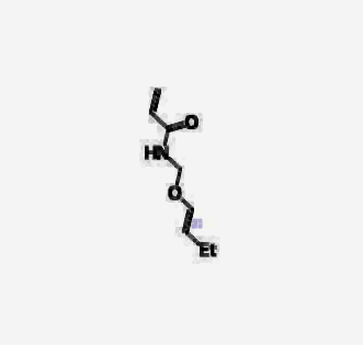 C=CC(=O)NCO/C=C/CC